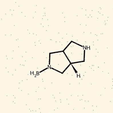 BN1CC2CNC[C@@H]2C1